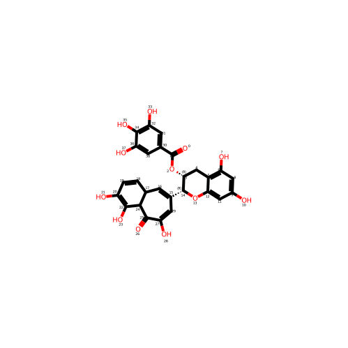 O=C(O[C@@H]1Cc2c(O)cc(O)cc2O[C@@H]1C1=CC2C=CC(O)=C(O)C2C(=O)C(O)=C1)c1cc(O)c(O)c(O)c1